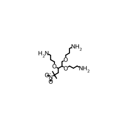 CC(C)(CC(OCCCN)C(COCCCN)OCCCN)[N+](=O)[O-]